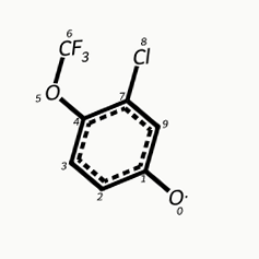 [O]c1ccc(OC(F)(F)F)c(Cl)c1